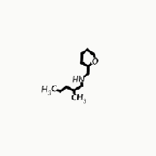 CCCC(C)CNCC1CCCCO1